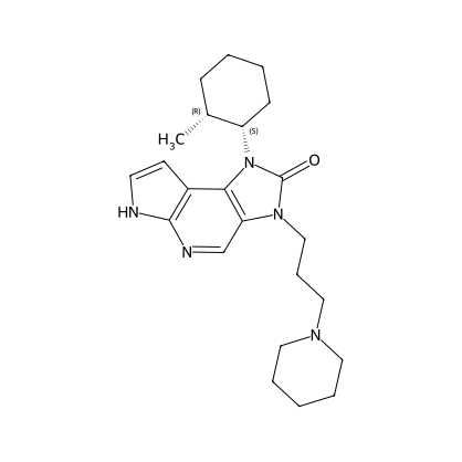 C[C@@H]1CCCC[C@@H]1n1c(=O)n(CCCN2CCCCC2)c2cnc3[nH]ccc3c21